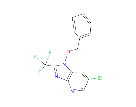 FC(F)(F)c1nc2ncc(Cl)cc2n1OCc1ccccc1